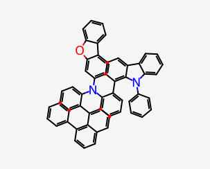 c1ccc(-c2cccc3cccc(-c4ccccc4N(c4ccc5c(c4)oc4ccccc45)c4ccccc4-c4cccc5c6ccccc6n(-c6ccccc6)c45)c23)cc1